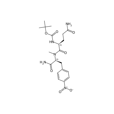 CN(C(=O)[C@H](CCC(N)=O)NC(=O)OC(C)(C)C)[C@@H](Cc1ccc([N+](=O)[O-])cc1)C(N)=O